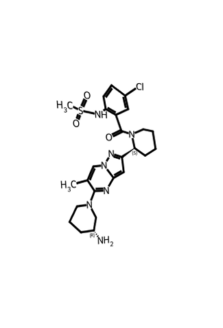 Cc1cn2nc([C@@H]3CCCCN3C(=O)c3cc(Cl)ccc3NS(C)(=O)=O)cc2nc1N1CCC[C@@H](N)C1